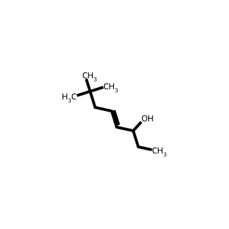 CCC(O)C=CCC(C)(C)C